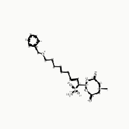 CN1CC(=O)OB(C(C=CCCCCCCOCc2ccccc2)S(N)(=O)=O)OC(=O)C1